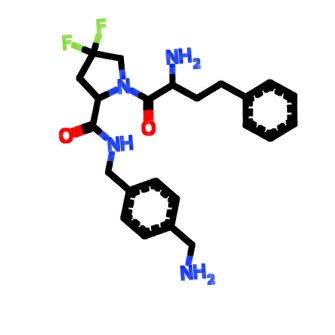 NCc1ccc(CNC(=O)C2CC(F)(F)CN2C(=O)C(N)CCc2ccccc2)cc1